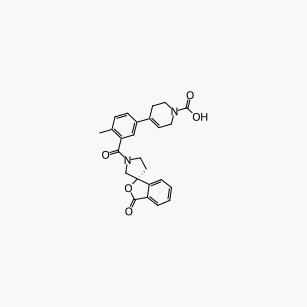 Cc1ccc(C2=CCN(C(=O)O)CC2)cc1C(=O)N1CC[C@@]2(C1)OC(=O)c1ccccc12